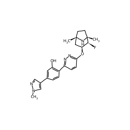 Cn1cc(-c2ccc(-c3ccc(O[C@H]4C[C@]5(C)CC[C@@](C)(N5)[C@H]4F)nn3)c(O)c2)cn1